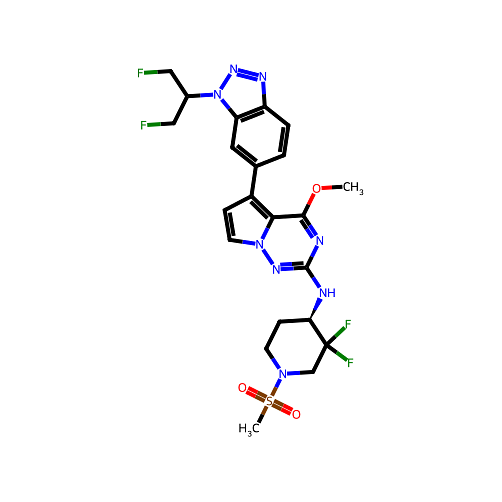 COc1nc(N[C@@H]2CCN(S(C)(=O)=O)CC2(F)F)nn2ccc(-c3ccc4nnn(C(CF)CF)c4c3)c12